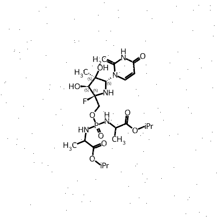 C=C1NC(=O)C=CN1[C@@H]1N[C@](F)(COP(=O)(NC(C)C(=O)OC(C)C)NC(C)C(=O)OC(C)C)[C@@H](O)[C@@]1(C)O